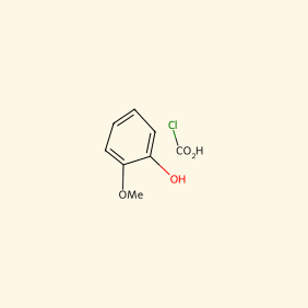 COc1ccccc1O.O=C(O)Cl